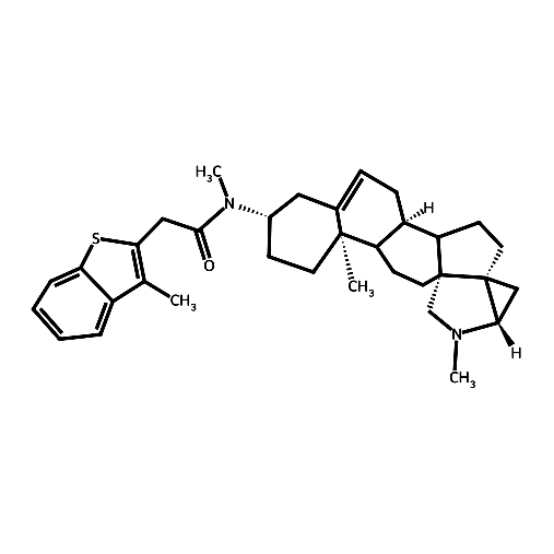 Cc1c(CC(=O)N(C)[C@H]2CC[C@@]3(C)C(=CC[C@H]4C5CC[C@]67C[C@@H]6N(C)C[C@]57CCC43)C2)sc2ccccc12